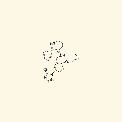 Cc1nnnn1-c1ccc(OCC2CC2)c(CN[C@H]2CCCN[C@H]2c2ccccc2)c1